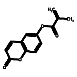 C=C(C)C(=O)Oc1ccc2oc(=O)ccc2c1